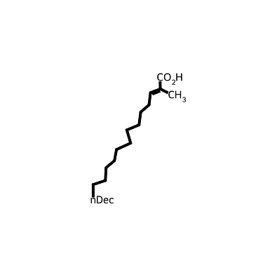 CCCCCCCCCCCCCCCCCCCCC=C(C)C(=O)O